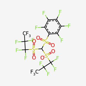 O=S(=O)(c1c(F)c(F)c(F)c(F)c1F)C(S(=O)(=O)C(F)(F)C(F)(F)C(F)(F)F)S(=O)(=O)C(F)(F)C(F)(F)C(F)(F)F